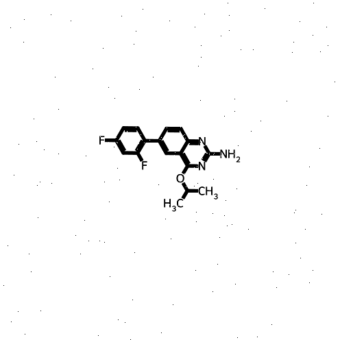 CC(C)Oc1nc(N)nc2ccc(-c3ccc(F)cc3F)cc12